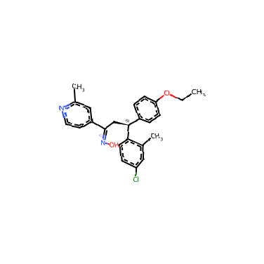 CCOc1ccc([C@H](C/C(=N\O)c2ccnc(C)c2)c2ccc(Cl)cc2C)cc1